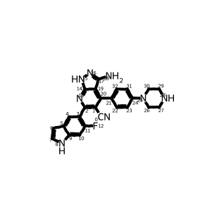 N#Cc1c(-c2cc3cc[nH]c3cc2F)nc2[nH]nc(N)c2c1-c1ccc(N2CCNCC2)cc1